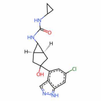 O=C(NC1CC1)NC1[C@H]2CC(O)(c3cc(Cl)cc4[nH]ncc34)C[C@@H]12